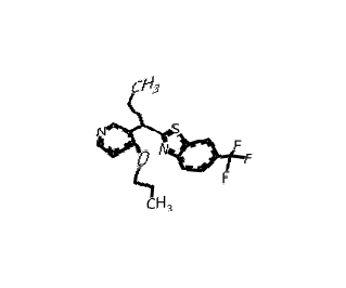 CCCOc1ccncc1C(CCC)c1nc2ccc(C(F)(F)F)cc2s1